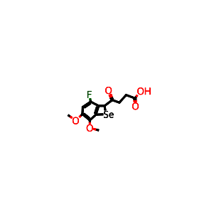 COc1cc(F)c2c(c1OC)[Se]C2C(=O)CCC(=O)O